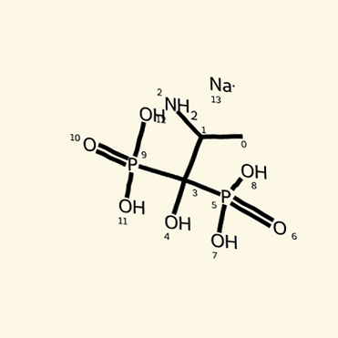 CC(N)C(O)(P(=O)(O)O)P(=O)(O)O.[Na]